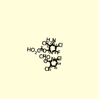 Nc1c(Cl)c(F)nc(OCC(=O)O)c1Cl.O=COc1nc(Cl)ccc1Cl